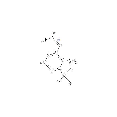 CC(C)(C)c1cncc(/C=N\I)c1N